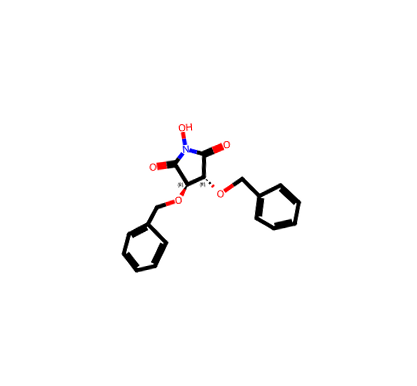 O=C1[C@H](OCc2ccccc2)[C@@H](OCc2ccccc2)C(=O)N1O